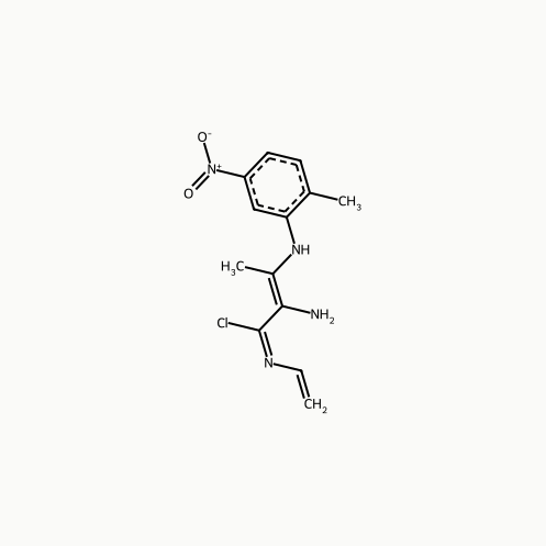 C=C/N=C(Cl)\C(N)=C(/C)Nc1cc([N+](=O)[O-])ccc1C